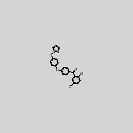 O=C(c1ccc(Oc2ccc(Sn3cccn3)cc2)cc1)c1cc(Cl)ccc1Cl